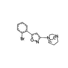 Brc1ccccc1-c1cc(N2CCN3CCC2CC3)no1